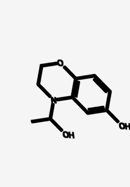 CC(O)N1CCOc2ccc(O)cc21